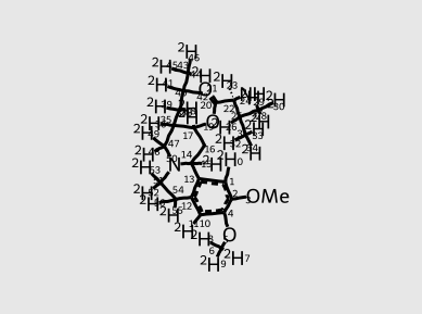 [2H]c1c(OC)c(OC([2H])([2H])[2H])c([2H])c2c1C1([2H])CC([2H])(OC(=O)[C@@]([2H])(N)C([2H])(C([2H])([2H])[2H])C([2H])([2H])[2H])C([2H])(C([2H])([2H])C([2H])(C)C([2H])([2H])[2H])C([2H])([2H])N1C([2H])([2H])C2([2H])[2H]